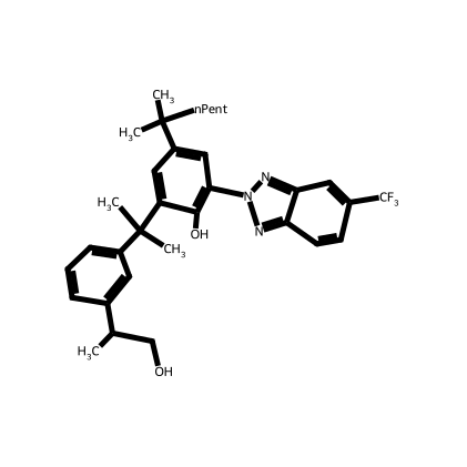 CCCCCC(C)(C)c1cc(-n2nc3ccc(C(F)(F)F)cc3n2)c(O)c(C(C)(C)c2cccc(C(C)CO)c2)c1